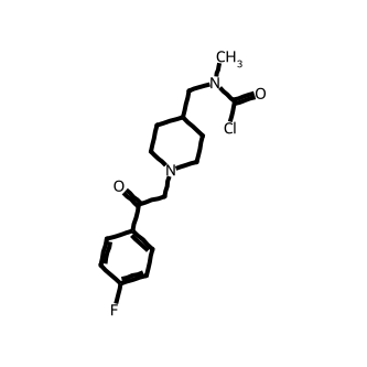 CN(CC1CCN(CC(=O)c2ccc(F)cc2)CC1)C(=O)Cl